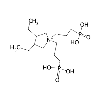 CCC1C[N+](CCCP(=O)(O)O)(CCCP(=O)(O)O)CC1CC